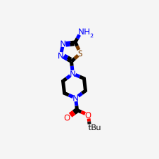 CC(C)(C)OC(=O)N1CCN(c2nnc(N)s2)CC1